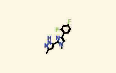 Cc1cc(-c2nc(-c3ccc(F)cc3F)cn2C)[nH]n1